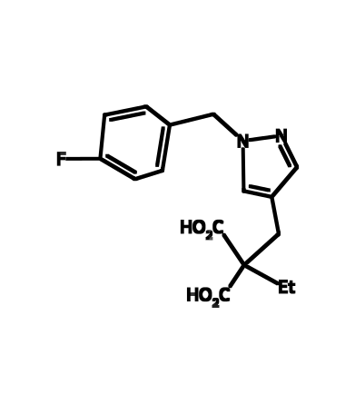 CCC(Cc1cnn(Cc2ccc(F)cc2)c1)(C(=O)O)C(=O)O